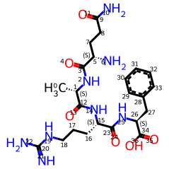 C[C@H](NC(=O)[C@@H](N)CCC(N)=O)C(=O)N[C@@H](CCCNC(=N)N)C(=O)N[C@@H](Cc1ccccc1)C(=O)O